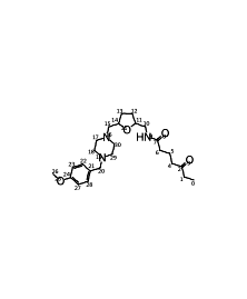 CCC(=O)CCCC(=O)NCC1CCC(CN2CCN(Cc3ccc(OC)cc3)CC2)O1